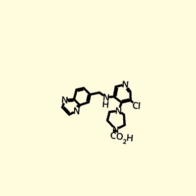 O=C(O)N1CCN(c2c(Cl)cncc2NCc2ccc3nccnc3c2)CC1